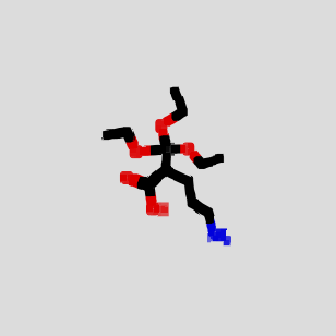 CCO[Si](OCC)(OCC)C(CCCN)C(=O)O